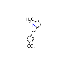 Cc1cccc(C=Cc2ccc(C(=O)O)cc2)n1